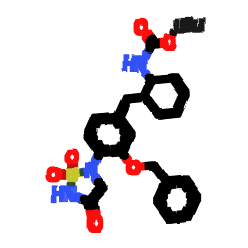 CC(C)(C)OC(=O)NC1CCCCC1Cc1ccc(N2CC(=O)NS2(=O)=O)c(OCc2ccccc2)c1